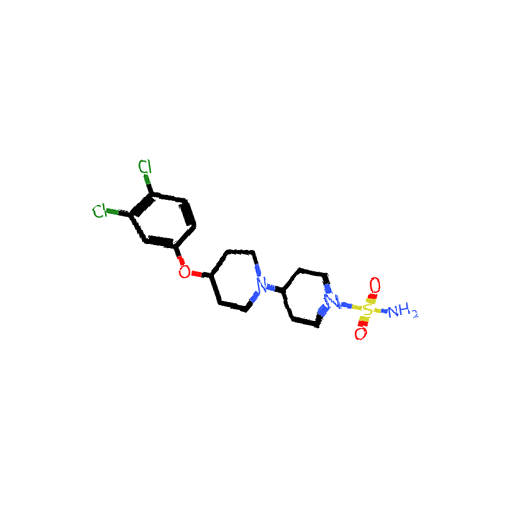 NS(=O)(=O)N1CCC(N2CCC(Oc3ccc(Cl)c(Cl)c3)CC2)CC1